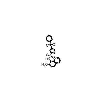 Cc1ccc2cccnc2c1NS(=O)(=O)c1cc(S(=O)(=O)c2ccccc2)cs1